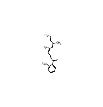 CC=CC(C)CC(C)=CCOC(=O)c1ccccc1OC(C)=O